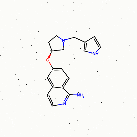 Nc1nccc2cc(O[C@H]3CCN(Cc4cc[nH]c4)C3)ccc12